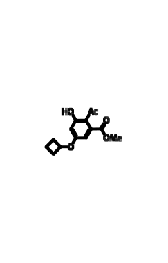 COC(=O)c1cc(OC2CCC2)cc(O)c1C(C)=O